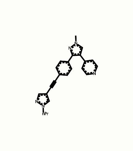 CCCn1cc(C#Cc2ccc(-c3nn(C)cc3-c3ccncc3)cc2)cn1